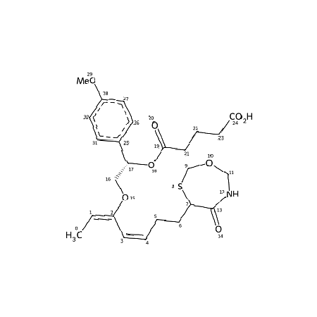 C/C=C(\C=C/CCC1SCOCNC1=O)OC[C@@H](OC(=O)CCCC(=O)O)c1ccc(OC)cc1